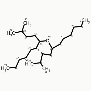 CCCCCCC(CCC(C)C)OC(CCCCCC)CCC(C)C